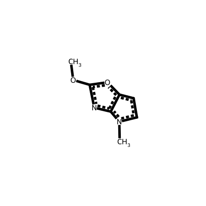 COc1nc2c(ccn2C)o1